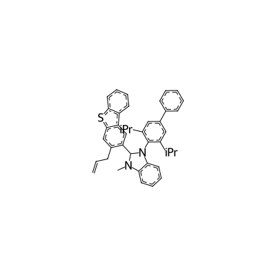 C=CCc1cc2sc3ccccc3c2cc1C1N(C)c2ccccc2N1c1c(C(C)C)cc(-c2ccccc2)cc1C(C)C